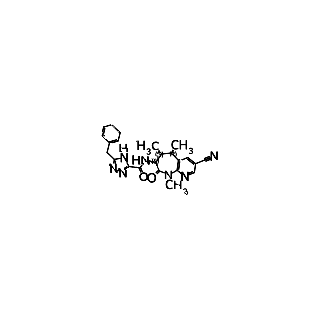 C[C@@H]1[C@H](NC(=O)c2nnc(Cc3ccccc3)[nH]2)C(=O)N(C)c2ncc(C#N)cc2[C@@H]1C